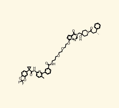 Cc1ccc(NC(=O)C2(c3ccc4c(c3)OC(F)(F)O4)CC2)nc1-c1cccc(C(=O)NCCCOCCOCCOc2ccc3c(=O)n(CC4(O)CCN(C(=O)C[C@@H](C)c5ccccc5)CC4)cnn23)c1